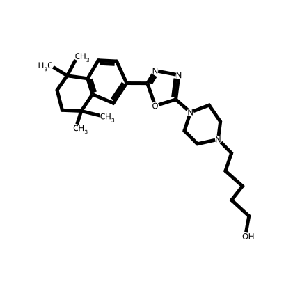 CC1(C)CCC(C)(C)c2cc(-c3nnc(N4CCN(CCCCCO)CC4)o3)ccc21